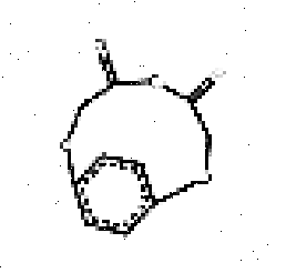 O=C1COc2ccc(cc2)OCC(=O)O1